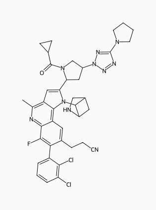 Cc1nc2c(F)c(-c3cccc(Cl)c3Cl)c(CCC#N)cc2c2c1cc(C1CC(n3nnc(N4CCCC4)n3)CN1C(=O)C1CC1)n2C1C2CNC1C2